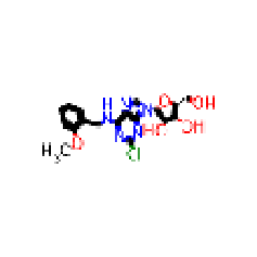 COc1ccccc1CNc1nc(Cl)nc2c1ncn2[C@@H]1O[C@H](CO)[C@@H](O)[C@H]1O